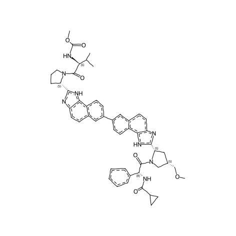 COC[C@H]1C[C@@H](c2nc3ccc4cc(-c5ccc6c(ccc7nc([C@@H]8CCCN8C(=O)[C@@H](NC(=O)OC)C(C)C)[nH]c76)c5)ccc4c3[nH]2)N(C(=O)[C@H](NC(=O)C2CC2)c2ccccc2)C1